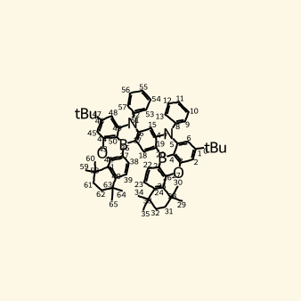 CC(C)(C)c1cc2c3c(c1)N(c1ccccc1)c1cc4c(cc1B3c1ccc3c(c1O2)C(C)(C)CCC3(C)C)B1c2ccc3c(c2Oc2cc(C(C)(C)C)cc(c21)N4c1ccccc1)C(C)(C)CCC3(C)C